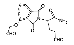 NC(=O)C(CCC=O)N1C(=O)c2cccc(OCC=O)c2C1=O